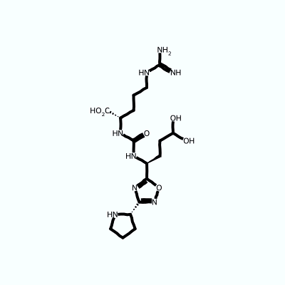 N=C(N)NCCC[C@H](NC(=O)N[C@@H](CCC(O)O)c1nc([C@@H]2CCCN2)no1)C(=O)O